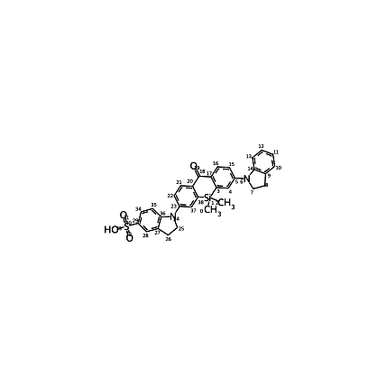 C[Si]1(C)c2cc(N3CCc4ccccc43)ccc2C(=O)c2ccc(N3CCc4cc(S(=O)(=O)O)ccc43)cc21